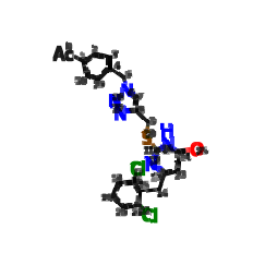 CC(=O)c1ccc(Cn2cc(CSc3nc(Cc4c(Cl)cccc4Cl)cc(=O)[nH]3)nn2)cc1